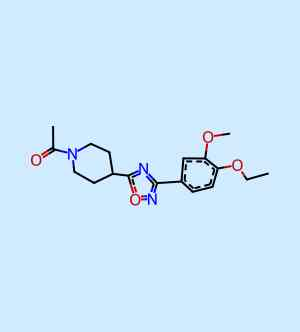 CCOc1ccc(-c2noc(C3CCN(C(C)=O)CC3)n2)cc1OC